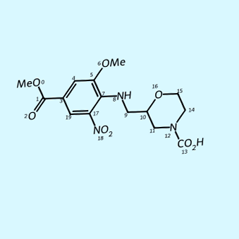 COC(=O)c1cc(OC)c(NCC2CN(C(=O)O)CCO2)c([N+](=O)[O-])c1